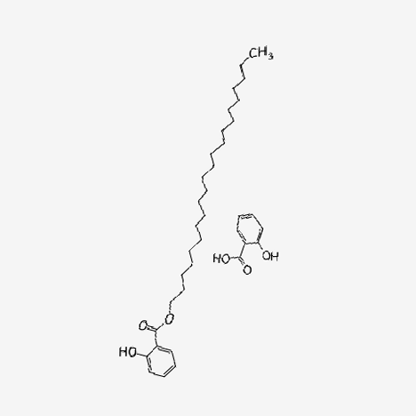 CCCCCCCCCCCCCCCCCCCCCCOC(=O)c1ccccc1O.O=C(O)c1ccccc1O